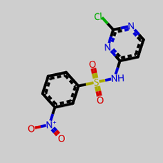 O=[N+]([O-])c1cccc(S(=O)(=O)Nc2ccnc(Cl)n2)c1